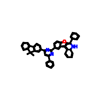 CC1(C)c2ccccc2-c2ccc(-c3cc(-c4ccccc4)nc(-c4ccc5oc6c(c5c4)=C4C=CC=CC4NC=6c4ccccc4)n3)cc21